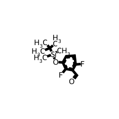 CC(C)(C)[Si](C)(C)Oc1ccc(F)c(C=O)c1F